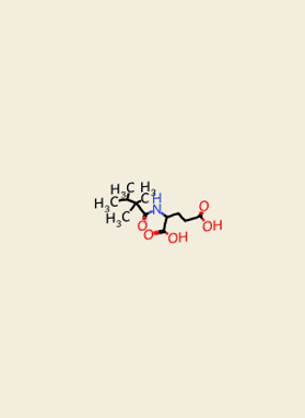 CC(C)C(C)(C)C(=O)NC(CCC(=O)O)C(=O)O